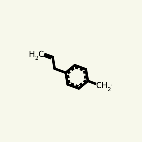 [CH2]c1ccc(CC=C)cc1